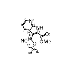 COC(=O)c1[nH]c2ncccc2c1C(C#N)O[Si](C)(C)C